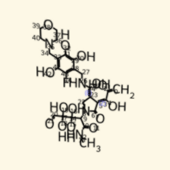 C=C(O)/C(O)=C1/C(=O)N(C(C(=O)NC)C(O)(O)C(O)(O)C=O)C/C1=C(/O)NCc1c(O)c(O)c(CN2CCOCC2)c(O)c1F